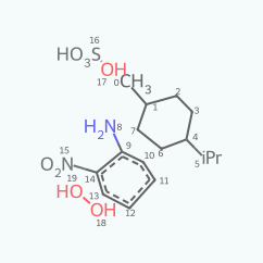 CC1CCC(C(C)C)CC1.Nc1ccccc1[N+](=O)[O-].O=S(=O)(O)O.OO